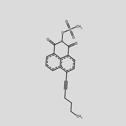 CCCCC#Cc1ccc2c3c(cccc13)C(=O)N(OS(C)(=O)=O)C2=O